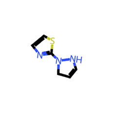 C1=CNN(c2nccs2)C1